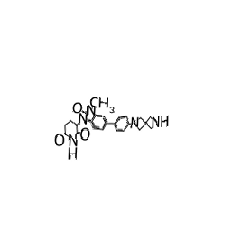 Cn1c(=O)n(C2CCC(=O)NC2=O)c2ccc(-c3ccc(N4CC5(CNC5)C4)cc3)cc21